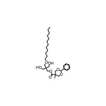 CCCCCCCCCCCCOCC(CO)(CO)COC(=O)C1(C)COC(c2ccccc2)OC1